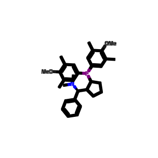 COc1c(C)cc(P(c2cc(C)c(OC)c(C)c2)C2CCCC2[C@@H](c2ccccc2)N(C)C)cc1C